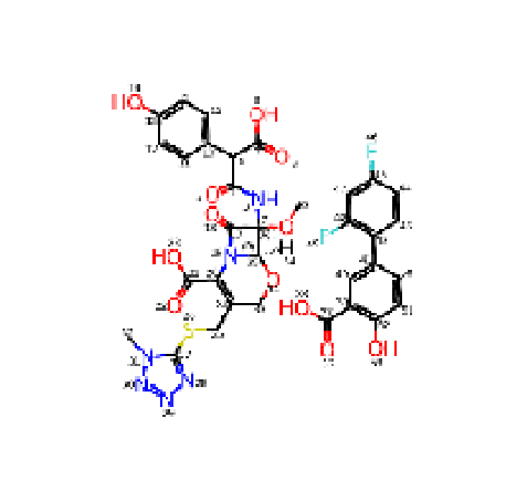 CO[C@@]1(NC(=O)C(C(=O)O)c2ccc(O)cc2)C(=O)N2C(C(=O)O)=C(CSc3nnnn3C)CO[C@@H]21.O=C(O)c1cc(-c2ccc(F)cc2F)ccc1O